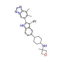 Cc1c(-c2[nH]c3ccc(C4CCC(NC5(C)COC5)CC4)cc3c2C(C)C)cn2ncnc2c1C